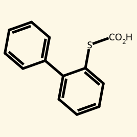 O=C(O)Sc1ccccc1-c1ccccc1